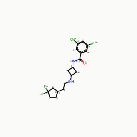 O=C(N[C@H]1C[C@H](NCC[C@H]2CCC(F)(F)C2)C1)c1cc(F)cc(Cl)c1